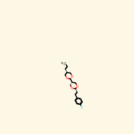 CCC[C@H]1CO[C@H]([C@H]2CO[C@H](CCc3ccc(F)cc3)OC2)OC1